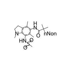 CCCCCCCCCC(C)(C)C(=O)Nc1c(C)c2c(c(NS(C)(=O)=O)c1C)N(C)CC2